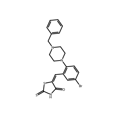 O=C1NC(=S)SC1=Cc1cc(Br)ccc1N1CCN(Cc2ccccc2)CC1